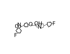 OC(COc1ccc(-c2noc3cc(F)ccc23)cc1)CN1CCC(c2ccc(F)cc2)CC1